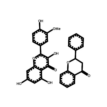 COc1cc(-c2oc3cc(O)cc(O)c3c(=O)c2O)ccc1O.O=C1CC(c2ccccc2)Oc2ccccc21